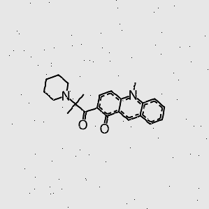 Cn1c2ccc(C(=O)C(C)(C)N3CCCCC3)c(=O)c-2cc2ccccc21